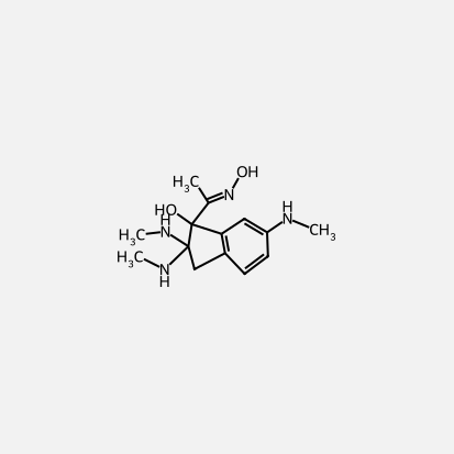 CNc1ccc2c(c1)C(O)(C(C)=NO)C(NC)(NC)C2